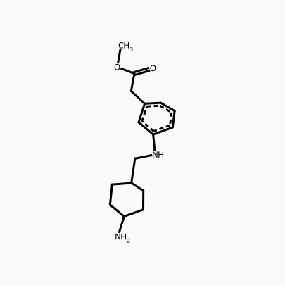 COC(=O)Cc1cccc(NCC2CCC(N)CC2)c1